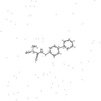 CC(C)[C@@H](N)C(=O)NCc1ccc(-c2ccccc2)cc1